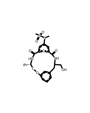 CC(C)[C@H]1COc2cccc(c2)CC(CO)NC(=O)c2cc(cc(N(C)S(C)(=O)=O)c2)C(=O)N1